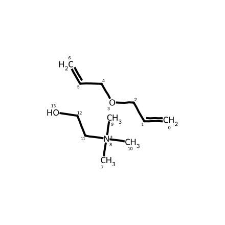 C=CCOCC=C.C[N+](C)(C)CCO